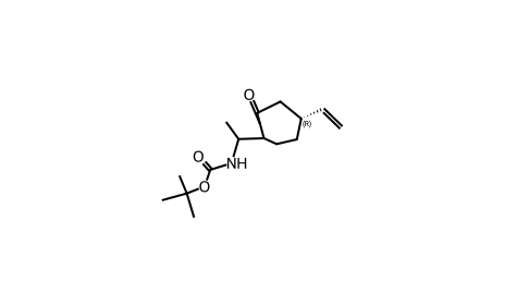 C=C[C@@H]1CCC(C(C)NC(=O)OC(C)(C)C)C(=O)C1